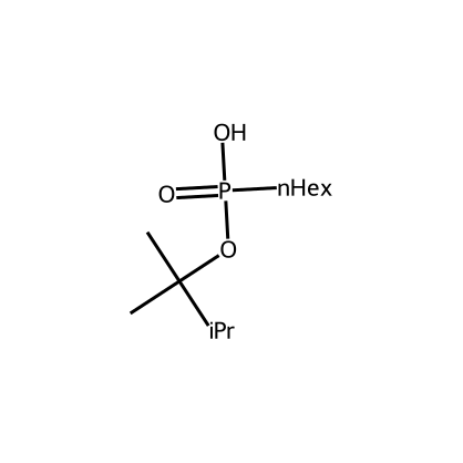 CCCCCCP(=O)(O)OC(C)(C)C(C)C